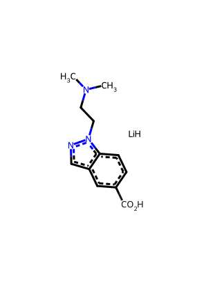 CN(C)CCn1ncc2cc(C(=O)O)ccc21.[LiH]